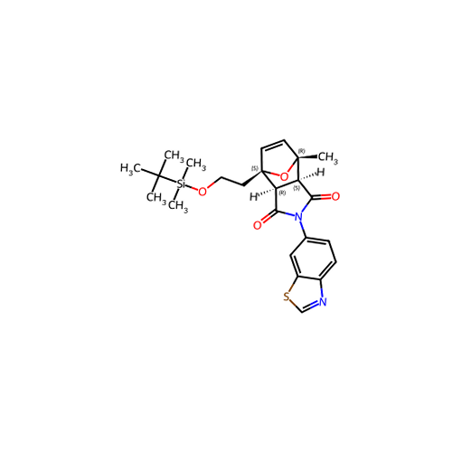 CC(C)(C)[Si](C)(C)OCC[C@@]12C=C[C@@](C)(O1)[C@H]1C(=O)N(c3ccc4ncsc4c3)C(=O)[C@H]12